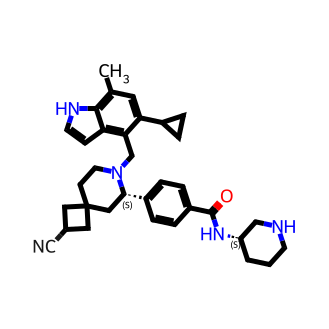 Cc1cc(C2CC2)c(CN2CCC3(CC(C#N)C3)C[C@H]2c2ccc(C(=O)N[C@H]3CCCNC3)cc2)c2cc[nH]c12